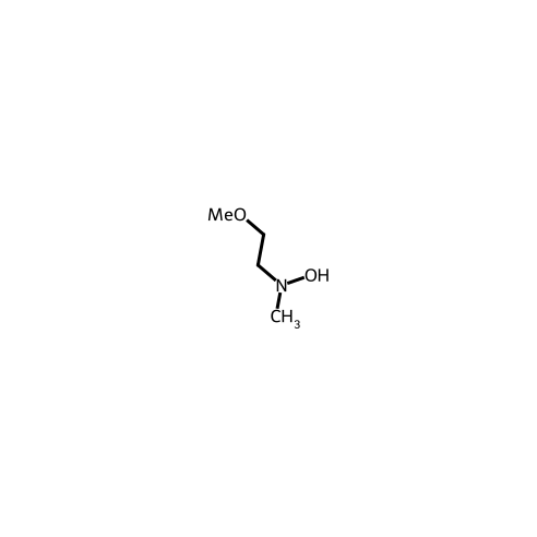 COCCN(C)O